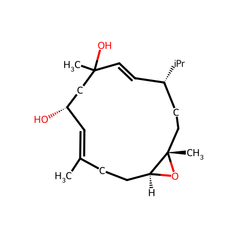 C/C1=C\[C@H](O)CC(C)(O)/C=C/[C@H](C(C)C)CC[C@]2(C)O[C@H]2CC1